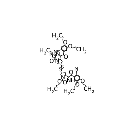 C=CCOC(=O)N1CC(SSC2CC(C(N)C(=O)c3cc(OCC=C)c(OCC=C)cc3C#N)N(C(=O)OCC=C)C2)CC1C(N)C(=O)c1cc(OCC=C)c(OCC=C)cc1C#N